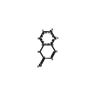 O=C1C=Cc2nnccc2C1